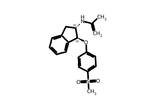 C=C(C)N[C@H]1Cc2ccccc2[C@@H]1Oc1ccc(S(C)(=O)=O)cc1